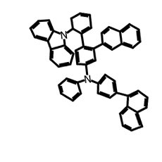 C1=CCC(n2c3ccccc3c3ccccc32)C(c2ccc(N(c3ccccc3)c3ccc(-c4cccc5ccccc45)cc3)cc2-c2ccc3ccccc3c2)=C1